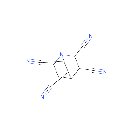 N#CC1C2CCN(C1C#N)C(C#N)C2C#N